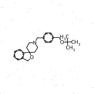 CC(C)(C)OCc1ccc(CN2CCC3(CC2)OCc2ccccc23)cc1